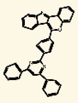 c1ccc(-c2cc(-c3ccccc3)nc(-c3ccc(-c4oc5ccccc5c5nc6ccccc6c4-5)cc3)n2)cc1